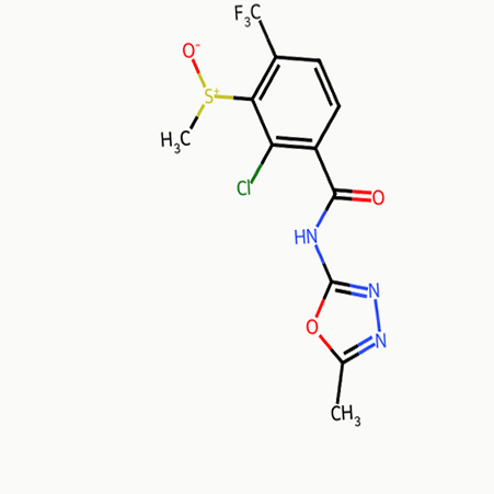 Cc1nnc(NC(=O)c2ccc(C(F)(F)F)c([S+](C)[O-])c2Cl)o1